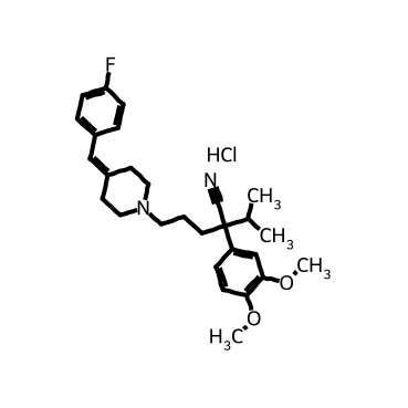 COc1ccc(C(C#N)(CCCN2CCC(=Cc3ccc(F)cc3)CC2)C(C)C)cc1OC.Cl